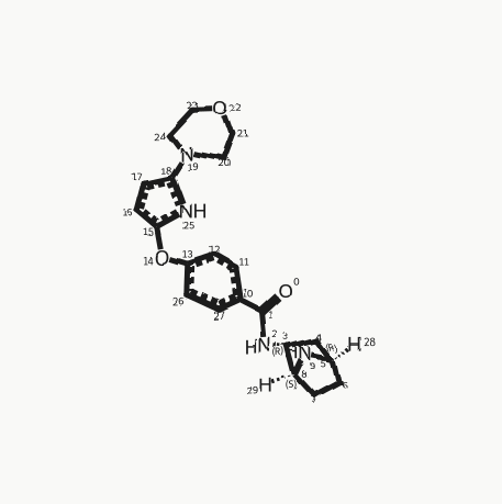 O=C(N[C@@H]1C[C@H]2CC[C@@H]1N2)c1ccc(Oc2ccc(N3CCOCC3)[nH]2)cc1